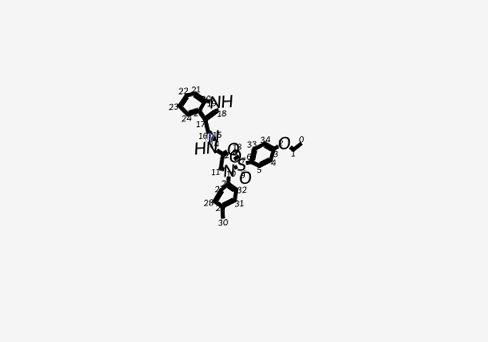 CCOc1ccc(S(=O)(=O)N(CC(=O)N/N=C/c2c[nH]c3ccccc23)c2ccc(C)cc2)cc1